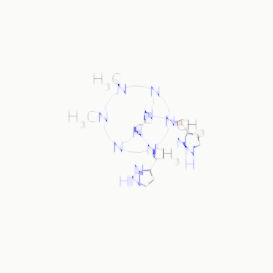 CN1CCN(C)CCN2CCN(C)CCN(Cc3cc[nH]n3)CCN(CC1)CCN(C)CCN(Cc1cc[nH]n1)CC2